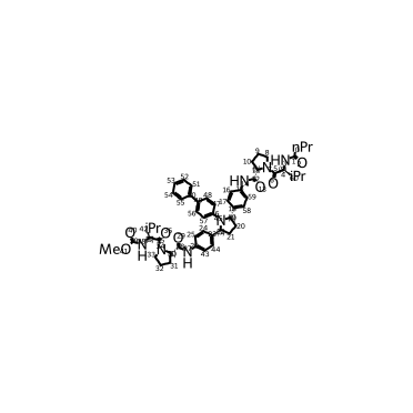 CCCC(=O)N[C@H](C(=O)N1CCC[C@H]1C(=O)Nc1ccc([C@@H]2CC[C@@H](c3ccc(NC(=O)[C@@H]4CCCN4C(=O)[C@@H](NC(=O)OC)C(C)C)cc3)N2c2ccc(-c3ccccc3)cc2)cc1)C(C)C